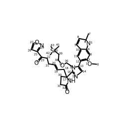 COc1cc2nc(C)ccc2cc1-c1cnc(C2(C/C=C/CCC(=O)c3ccon3)CCC(=O)N2)n1COCC[Si](C)(C)C